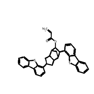 C=CC(=O)OC1C2CC(C3CC(c4cccc5c4sc4ccccc45)CC32)C1c1cccc2c1sc1ccccc12